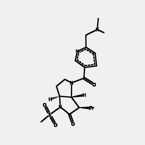 CC(C)[C@H]1C(=O)N(S(C)(=O)=O)[C@H]2CCN(C(=O)c3ccc(CN(C)C)nc3)[C@H]12